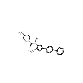 CC(C)N(c1cc(-c2ccc(-c3cccnc3)cc2)sc1C(=O)O)C(=O)[C@H]1CC[C@H](C)CC1